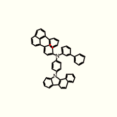 c1ccc(-c2cccc(N(c3ccc(-c4cccc5cccc(-c6ccccc6)c45)cc3)c3ccc(-n4c5ccccc5c5ccc6ccccc6c54)cc3)c2)cc1